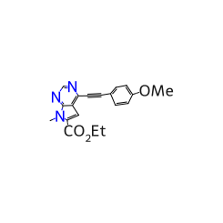 CCOC(=O)c1cc2c(C#Cc3ccc(OC)cc3)ncnc2n1C